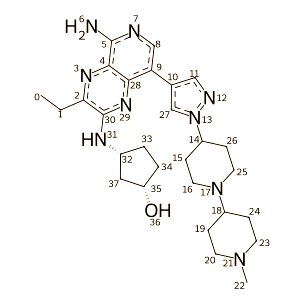 CCc1nc2c(N)ncc(-c3cnn(C4CCN(C5CCN(C)CC5)CC4)c3)c2nc1N[C@@H]1CC[C@H](O)C1